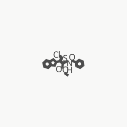 CCOC(=O)c1c(NC(=O)c2ccccc2)sc(Cl)c1C1Cc2ccccc2C1